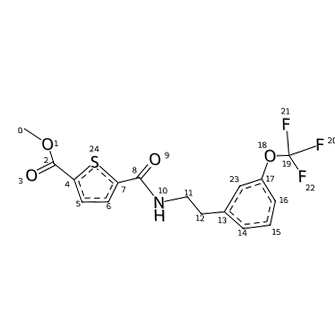 COC(=O)c1ccc(C(=O)NCCc2cccc(OC(F)(F)F)c2)s1